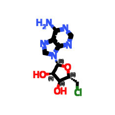 Nc1ncnc2c1ncn2[C@@H]1O[C@H](CCl)[C@@H](O)[C@H]1O